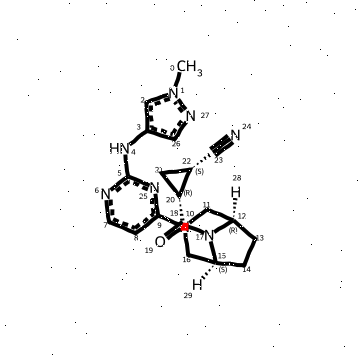 Cn1cc(Nc2nccc(N3C[C@H]4CC[C@@H](C3)N4C(=O)[C@@H]3C[C@@H]3C#N)n2)cn1